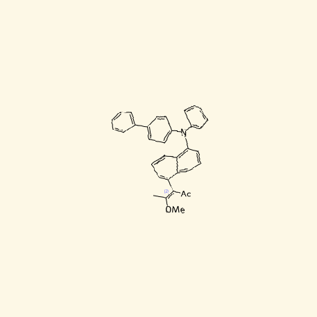 CO/C(C)=C(\C(C)=O)c1cccc2c(N(c3ccccc3)c3ccc(-c4ccccc4)cc3)cccc12